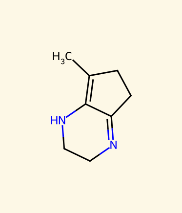 CC1=C2NCCN=C2CC1